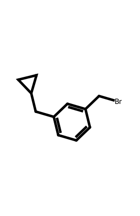 BrCc1cccc(CC2CC2)c1